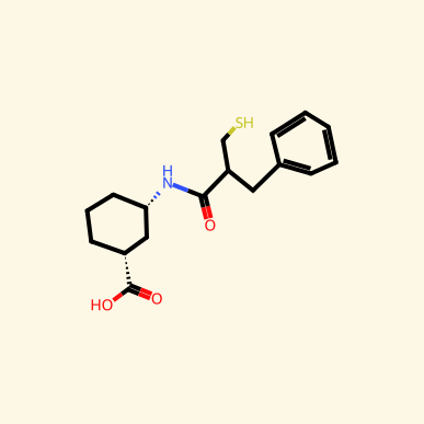 O=C(N[C@H]1CCC[C@@H](C(=O)O)C1)C(CS)Cc1ccccc1